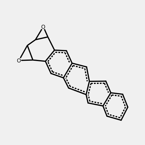 c1ccc2cc3cc4cc5c(cc4cc3cc2c1)C1OC1C1OC51